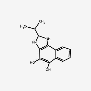 CC(C)C1Nc2c(O)c(O)c3ccccc3c2N1